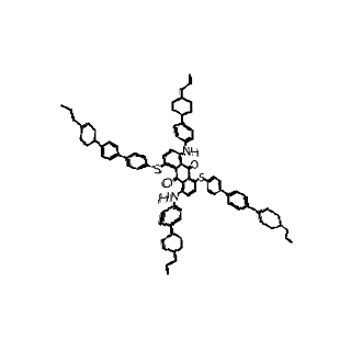 CCCC1CCC(c2ccc(Nc3ccc(Sc4ccc(-c5ccc(C6CCC(CCC)CC6)cc5)cc4)c4c3C(=O)c3c(Sc5ccc(-c6ccc(C7CCC(CCC)CC7)cc6)cc5)ccc(Nc5ccc(C6CCC(CCC)CC6)cc5)c3C4=O)cc2)CC1